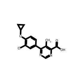 Cc1c(C(=O)O)ncnc1-c1ccc(OC2CC2)c(Cl)c1